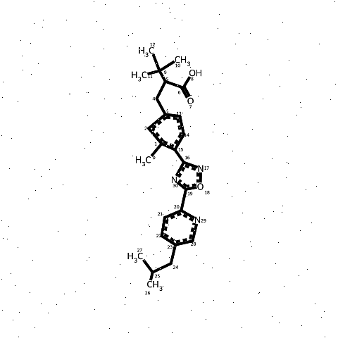 Cc1cc(CC(C(=O)O)C(C)(C)C)ccc1-c1noc(-c2ccc(CC(C)C)cn2)n1